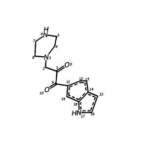 O=C(CN1CCNCC1)C(=O)c1ccc2cc[nH]c2c1